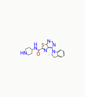 C[C@H]1Cc2ccccc2N1c1ncnc2sc(C(=O)NC3CCNCC3)nc12